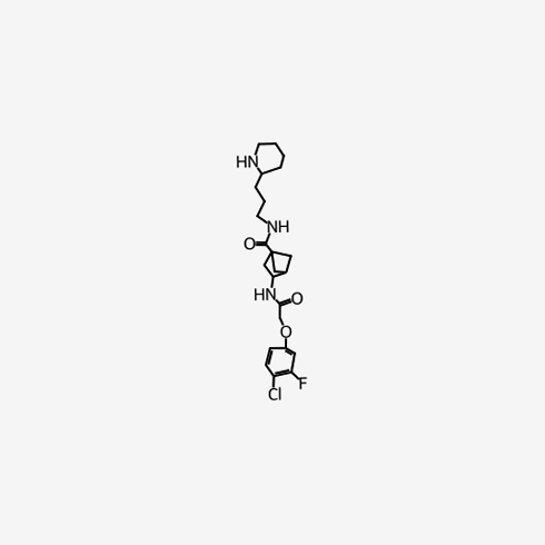 O=C(COc1ccc(Cl)c(F)c1)NC1CC2(C(=O)NCCCC3CCCCN3)CC1C2